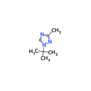 Cc1ncn(C(C)(C)C)n1